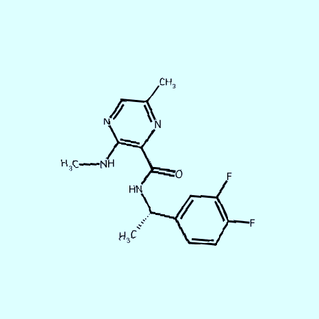 CNc1ncc(C)nc1C(=O)N[C@@H](C)c1ccc(F)c(F)c1